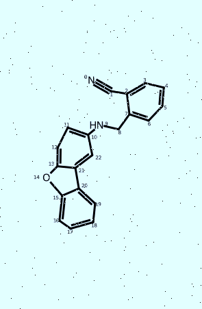 N#Cc1ccccc1CNc1ccc2oc3ccccc3c2c1